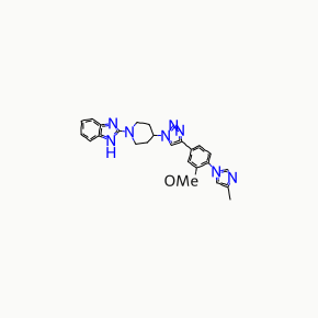 COc1cc(-c2cn(C3CCN(c4nc5ccccc5[nH]4)CC3)nn2)ccc1-n1cnc(C)c1